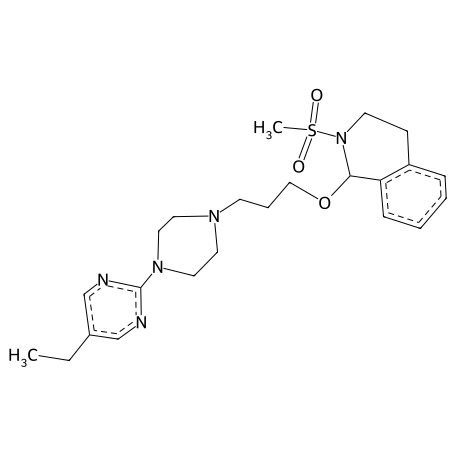 CCc1cnc(N2CCN(CCCOC3c4ccccc4CCN3S(C)(=O)=O)CC2)nc1